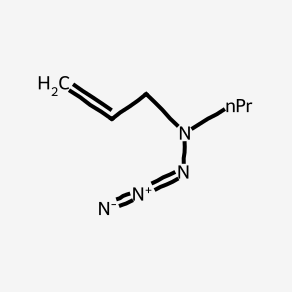 C=CCN(CCC)N=[N+]=[N-]